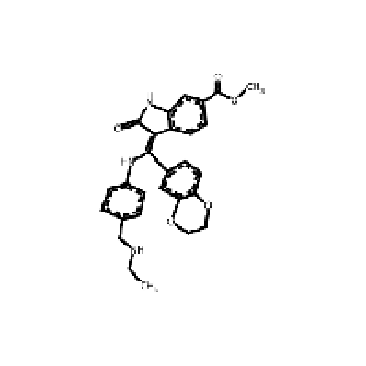 CCNCc1ccc(N/C(=C2\C(=O)Nc3cc(C(=O)OC)ccc32)c2ccc3c(c2)OCCO3)cc1